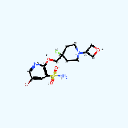 NS(=O)(=O)c1cc(Br)cnc1OCC1(F)CCN(C2COC2)CC1